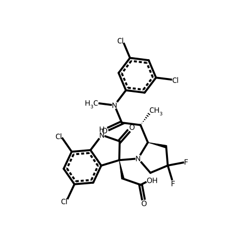 C[C@@H](C(=O)N(C)c1cc(Cl)cc(Cl)c1)[C@H]1CC(F)(F)CN1[C@@]1(CC(=O)O)C(=O)Nc2c(Cl)cc(Cl)cc21